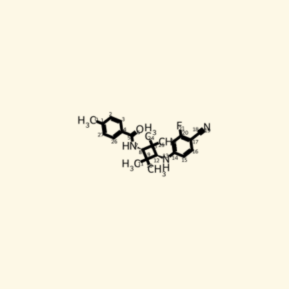 Cc1ccc(C(=O)N[C@H]2C(C)(C)[C@H](Nc3ccc(C#N)c(F)c3)C2(C)C)cc1